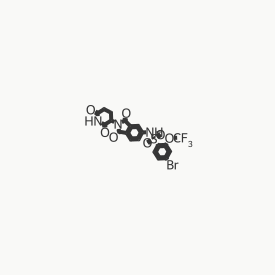 O=C1CCC(N2C(=O)c3ccc(NS(=O)(=O)c4ccc(Br)cc4OC(F)(F)F)cc3C2=O)C(=O)N1